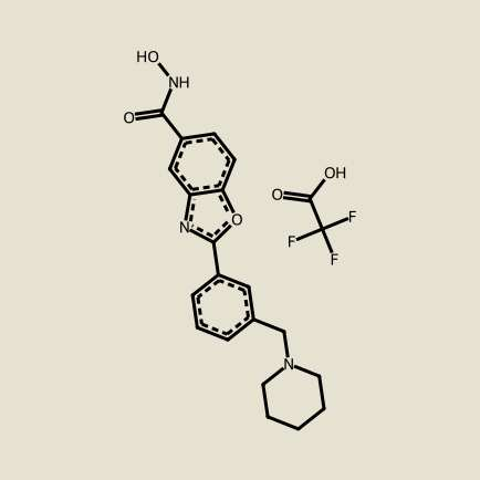 O=C(NO)c1ccc2oc(-c3cccc(CN4CCCCC4)c3)nc2c1.O=C(O)C(F)(F)F